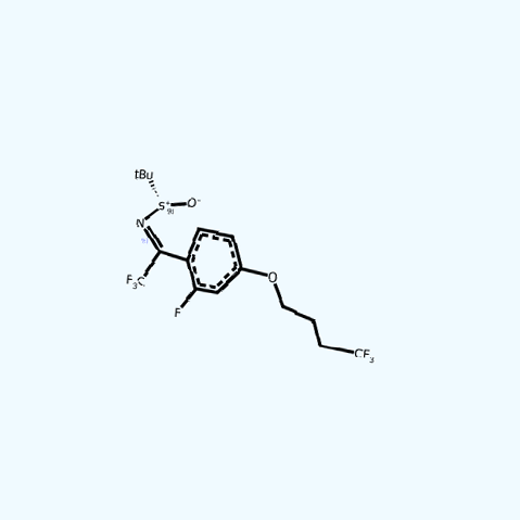 CC(C)(C)[S@+]([O-])/N=C(\c1ccc(OCCCC(F)(F)F)cc1F)C(F)(F)F